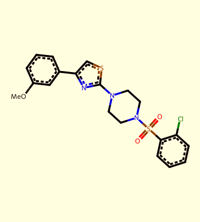 COc1cccc(-c2csc(N3CCN(S(=O)(=O)c4ccccc4Cl)CC3)n2)c1